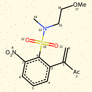 C=C(C(C)=O)c1cccc([N+](=O)[O-])c1S(=O)(=O)N(C)CCOC